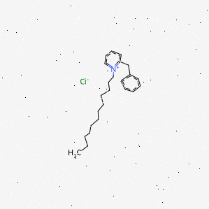 CCCCCCCCCCCC[n+]1ccccc1Cc1ccccc1.[Cl-]